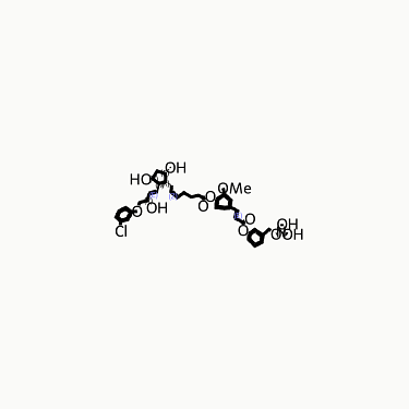 COc1cc(/C=C/C(=O)Oc2cccc(CON(O)O)c2)ccc1OC(=O)CCC/C=C\C[C@@H]1[C@@H](/C=C/[C@@H](O)COc2cccc(Cl)c2)[C@H](O)C[C@@H]1O